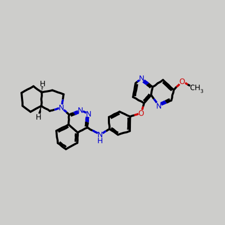 COc1cnc2c(Oc3ccc(Nc4nnc(N5CC[C@@H]6CCCC[C@H]6C5)c5ccccc45)cc3)ccnc2c1